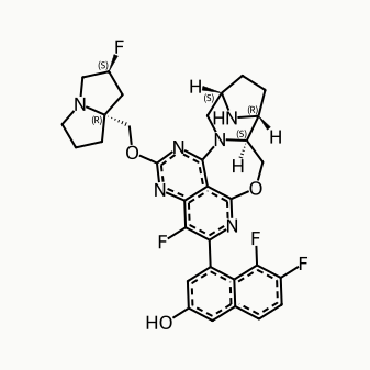 Oc1cc(-c2nc3c4c(nc(OC[C@]56CCCN5C[C@@H](F)C6)nc4c2F)N2C[C@@H]4CC[C@@H](N4)[C@H]2CO3)c2c(F)c(F)ccc2c1